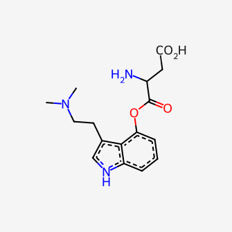 CN(C)CCc1c[nH]c2cccc(OC(=O)C(N)CC(=O)O)c12